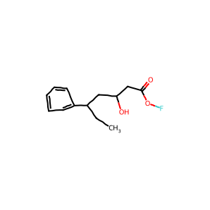 CCC(CC(O)CC(=O)OF)c1ccccc1